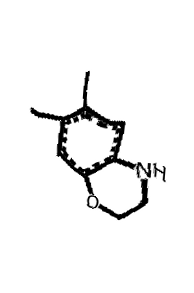 Cc1cc2c(cc1C)OCCN2